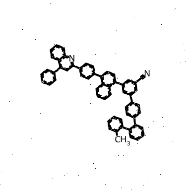 Cc1ccccc1-c1ccccc1-c1ccc(-c2cc(C#N)cc(-c3ccc(-c4ccc(-c5cc(-c6ccccc6)c6ccccc6n5)cc4)c4ccccc34)c2)cc1